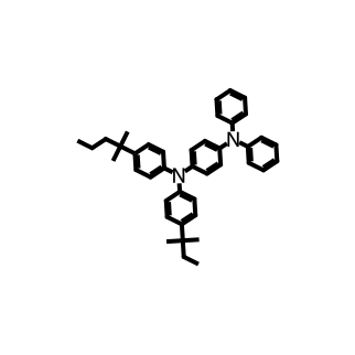 CCCC(C)(C)c1ccc(N(c2ccc(N(c3ccccc3)c3ccccc3)cc2)c2ccc(C(C)(C)CC)cc2)cc1